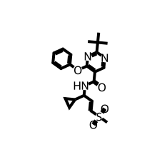 CC(C)(C)c1ncc(C(=O)NC(/C=C/S(C)(=O)=O)C2CC2)c(Oc2ccccc2)n1